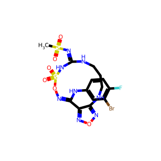 CS(=O)(=O)/N=C1/NCCCNc2nonc2/C(Nc2ccc(F)c(Br)c2)=N/OS(=O)(=O)N1